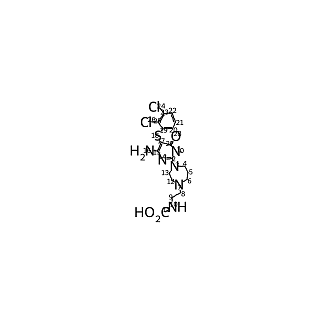 Cn1c(N2CCCN(CCNC(=O)O)CC2)nc(N)c(Sc2cccc(Cl)c2Cl)c1=O